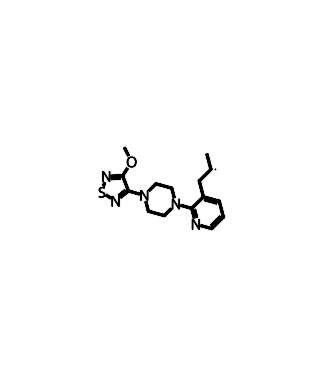 C[CH]Cc1cccnc1N1CCN(c2nsnc2OC)CC1